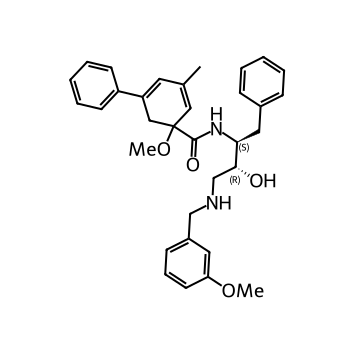 COc1cccc(CNC[C@@H](O)[C@H](Cc2ccccc2)NC(=O)C2(OC)C=C(C)C=C(c3ccccc3)C2)c1